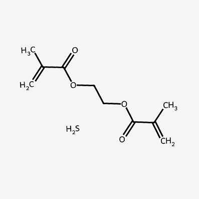 C=C(C)C(=O)OCCOC(=O)C(=C)C.S